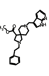 COC(=O)C1CN(CCc2ccccc2)CC12CCN(Cc1c[nH]c3ncccc13)CC2